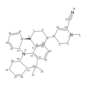 CN1CCC(C2CCC([C@@H]3C=CC=CC3N3C4=C(C=CCC4)C(C)(C)C4C=CCCC43)CC2)C=C1C#N